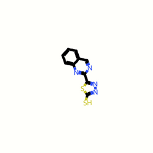 Sc1nnc(-c2ncc3ccccc3n2)s1